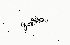 Cn1c(C2(Oc3ccc([N+](=O)[O-])cc3)CCC2)nc2cc(Cl)ccc21